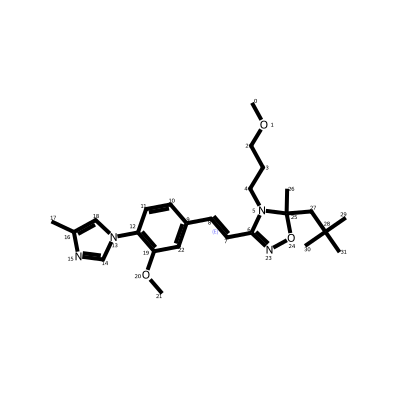 COCCCN1C(/C=C/c2ccc(-n3cnc(C)c3)c(OC)c2)=NOC1(C)CC(C)(C)C